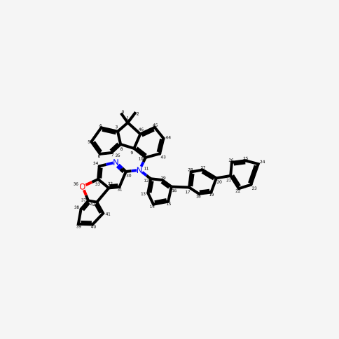 CC1(C)c2ccccc2-c2c(N(c3cccc(-c4ccc(-c5ccccc5)cc4)c3)c3cc4c(cn3)oc3ccccc34)cccc21